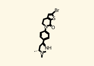 C[C@H](CC(=N)c1ccc(N2CCc3cc(Br)sc3C2=O)cc1)N(C)C